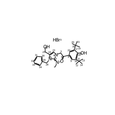 Br.CN=c1n(CC(=O)c2cc(C(C)(C)C)c(O)c(C(C)(C)C)c2)cc(CO)n1Cc1ccccc1